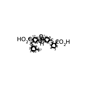 O=C(O)c1ccccc1Sc1ccc([NH+]([O-])Oc2ccc(C(=O)O)c(Sc3cccc(I)c3)c2)cc1